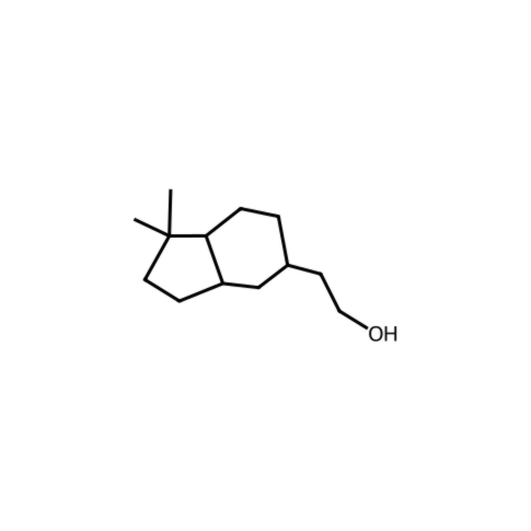 CC1(C)CCC2CC(CCO)CCC21